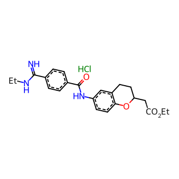 CCNC(=N)c1ccc(C(=O)Nc2ccc3c(c2)CCC(CC(=O)OCC)O3)cc1.Cl